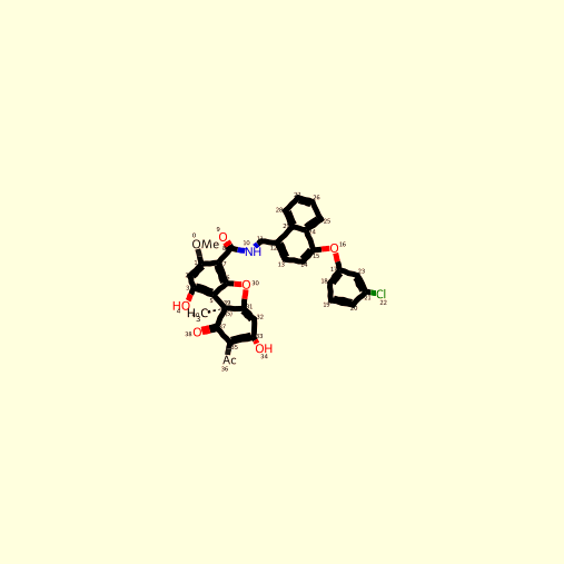 COc1cc(O)c2c(c1C(=O)NCc1ccc(Oc3cccc(Cl)c3)c3ccccc13)OC1=CC(O)=C(C(C)=O)C(=O)[C@]12C